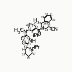 C/C(=C\[C@H](C(C)C)N(C)C(=O)[C@@H](NC(=O)[C@H]1CCCCN1C(C)C)C(C)C)C(=O)N(CCC#N)Cc1ccccc1